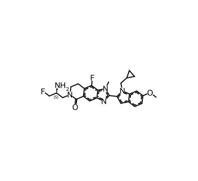 COc1ccc2cc(-c3nc4cc5c(c(F)c4n3C)CCN(C[C@H](N)CF)C5=O)n(CC3CC3)c2c1